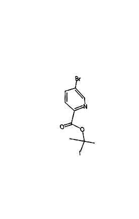 CC(C)(I)OC(=O)c1ccc(Br)cn1